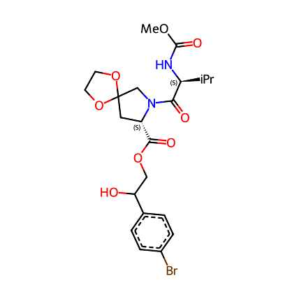 COC(=O)N[C@H](C(=O)N1CC2(C[C@H]1C(=O)OCC(O)c1ccc(Br)cc1)OCCO2)C(C)C